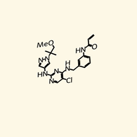 C=CC(=O)Nc1cccc(CNc2nc(Nc3cnn(C(C)(C)COC)c3)ncc2Cl)c1